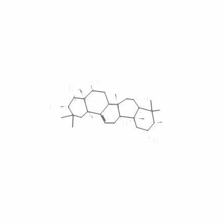 CC1(C)C[C@H]2C3=CC[C@@H]4[C@@]5(C)C[C@@H](O)[C@H](O)C(C)(C)[C@@H]5CC[C@@]4(C)[C@]3(C)C[C@H](O)[C@@]2(CO)[C@@H](O)[C@@H]1O